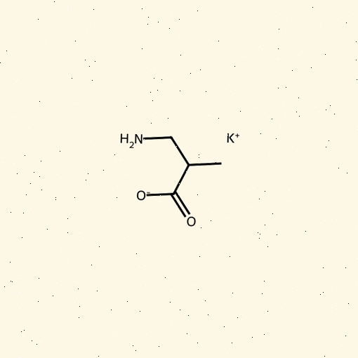 CC(CN)C(=O)[O-].[K+]